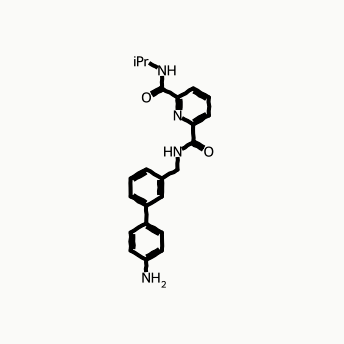 CC(C)NC(=O)c1cccc(C(=O)NCc2cccc(-c3ccc(N)cc3)c2)n1